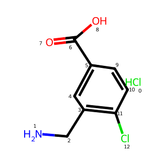 Cl.NCc1cc(C(=O)O)ccc1Cl